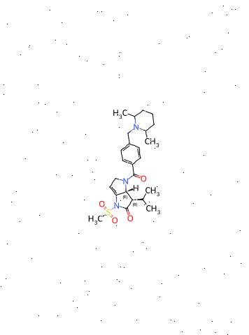 CC(C)[C@H]1C(=O)N(S(C)(=O)=O)C2=CCN(C(=O)c3ccc(CN4C(C)CCCC4C)cc3)[C@@H]21